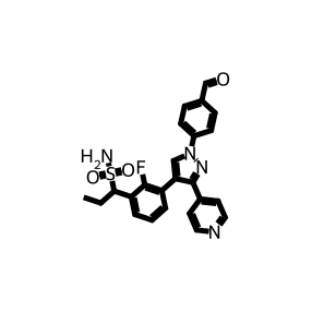 CCC(c1cccc(-c2cn(-c3ccc(C=O)cc3)nc2-c2ccncc2)c1F)S(N)(=O)=O